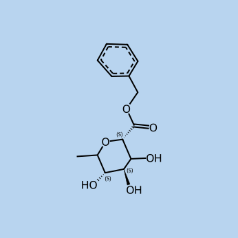 CC1O[C@H](C(=O)OCc2ccccc2)C(O)[C@@H](O)[C@@H]1O